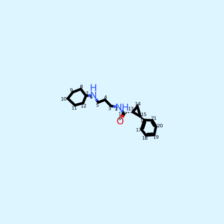 O=C(NCCCNC1CCCCC1)[C@@H]1C[C@H]1c1ccccc1